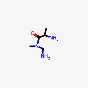 CC(N)C(=O)N(C)CN